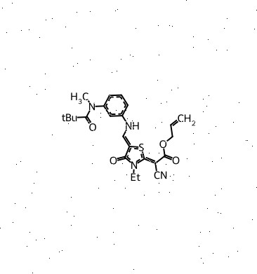 C=CCOC(=O)C(C#N)=c1sc(=CNc2cccc(N(C)C(=O)C(C)(C)C)c2)c(=O)n1CC